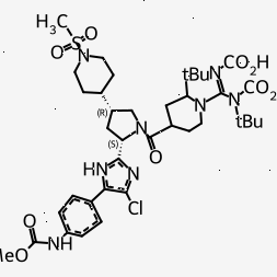 COC(=O)Nc1ccc(-c2[nH]c([C@@H]3C[C@H](C4CCN(S(C)(=O)=O)CC4)CN3C(=O)C3CCN(C(=NC(=O)O)N(C(=O)O)C(C)(C)C)C(C(C)(C)C)C3)nc2Cl)cc1